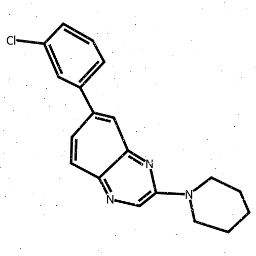 Clc1cccc(-c2ccc3ncc(N4CCCCC4)nc3c2)c1